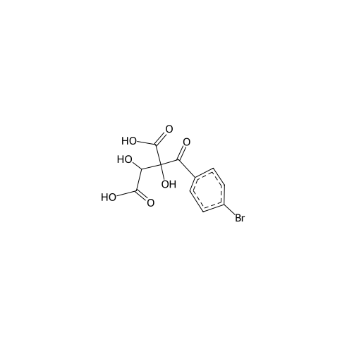 O=C(O)C(O)C(O)(C(=O)O)C(=O)c1ccc(Br)cc1